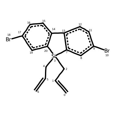 C=CC[Si]1(CC=C)c2cc(Br)ccc2-c2ccc(Br)cc21